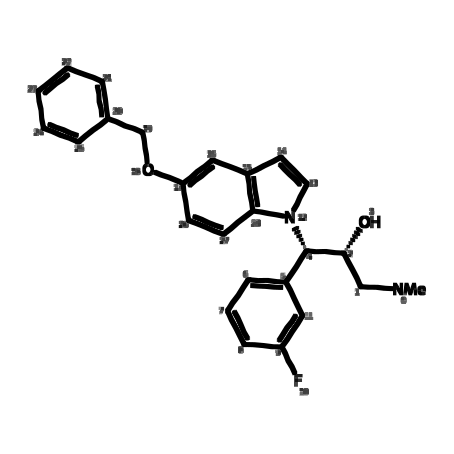 CNC[C@@H](O)[C@H](c1cccc(F)c1)n1ccc2cc(OCc3ccccc3)ccc21